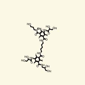 O=C(NCCCCCNC(=O)c1c(I)c(NC(=O)C(O)CO)c(I)c(C(=O)N(O)CCCO)c1I)c1c(I)c(NC(=O)C(O)CO)c(I)c(C(=O)NCC(O)CO)c1I